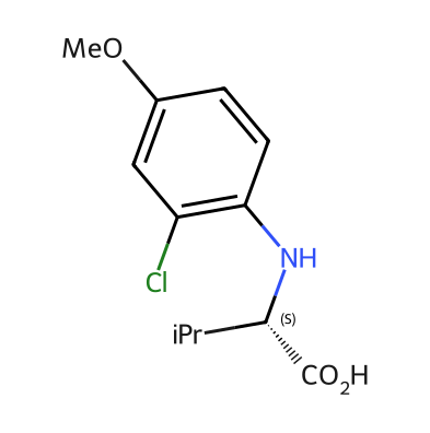 COc1ccc(N[C@H](C(=O)O)C(C)C)c(Cl)c1